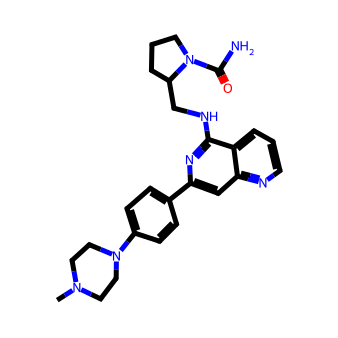 CN1CCN(c2ccc(-c3cc4ncccc4c(NCC4CCCN4C(N)=O)n3)cc2)CC1